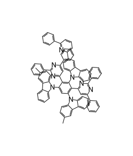 Cc1ccc2c(c1)c1ccccc1n2-c1cc(-n2c3ccccc3c3cc(C)ccc32)c(-c2cc(-c3ccccc3)nc(-c3ccccc3)n2)c(-n2c3ccccc3c3cc(-c4cccc(-c5ccccc5)n4)ccc32)c1-c1cc(-c2ccccc2)nc(-c2ccccc2)n1